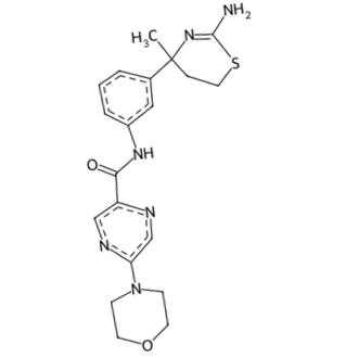 CC1(c2cccc(NC(=O)c3cnc(N4CCOCC4)cn3)c2)CCSC(N)=N1